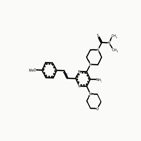 COc1ccc(/C=C/c2nc(N3CCOCC3)c(N)c(N3CCN(C(=S)N(C)C)CC3)n2)cc1